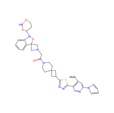 CNc1cc(-n2cccc2)ncc1-c1nnc(C2CC3(CCN(C(=O)CN4CC5(C4)ON(C4CCONO4)c4ccccc45)CC3)C2)s1